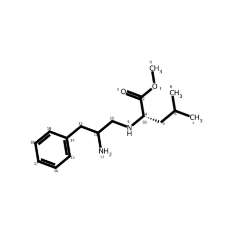 COC(=O)[C@H](CC(C)C)NCC(N)Cc1ccccc1